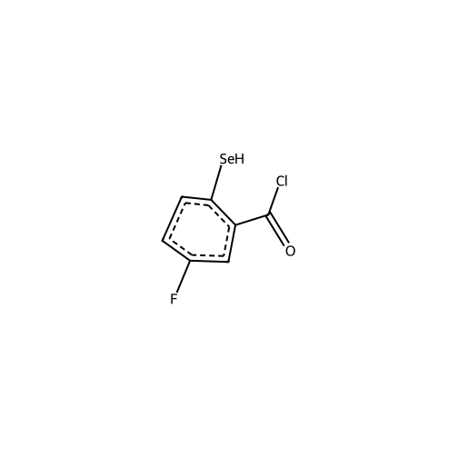 O=C(Cl)c1cc(F)ccc1[SeH]